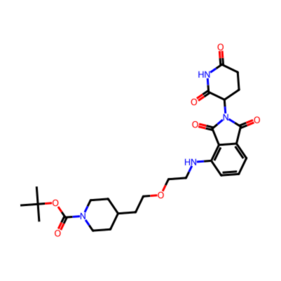 CC(C)(C)OC(=O)N1CCC(CCOCCNc2cccc3c2C(=O)N(C2CCC(=O)NC2=O)C3=O)CC1